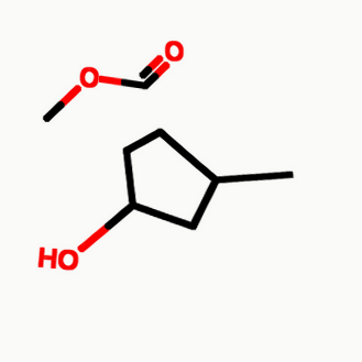 CC1CCC(O)C1.COC=O